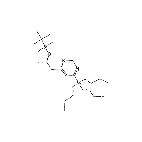 CCC[CH2][Sn]([CH2]CCC)([CH2]CCC)[c]1cc(C[C@H](C)O[Si](C)(C)C(C)(C)C)ncn1